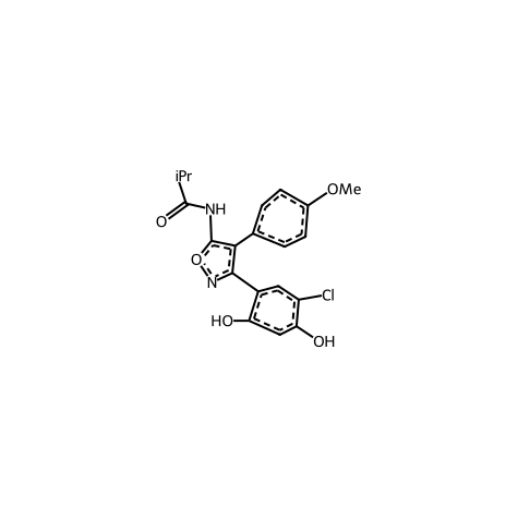 COc1ccc(-c2c(-c3cc(Cl)c(O)cc3O)noc2NC(=O)C(C)C)cc1